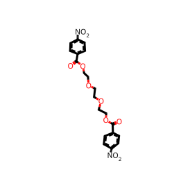 O=C(OCCOCCOCCOC(=O)c1ccc([N+](=O)[O-])cc1)c1ccc([N+](=O)[O-])cc1